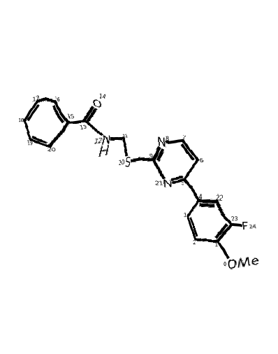 COc1ccc(-c2ccnc(SCNC(=O)c3ccccc3)n2)cc1F